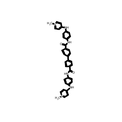 C[n+]1ccc(Nc2ccc(NC(=O)c3ccc(-c4ccc(C(=O)Nc5ccc(Nc6cc[n+](C)cc6)cc5)cc4)cc3)cc2)cc1